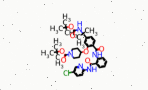 CC(C)(C)OC(=O)NC(C)(C)c1ccc(C(=O)Nc2ccccc2C(=O)Nc2ccc(Cl)cn2)c(OC2CCN(C(=O)OC(C)(C)C)CC2)c1